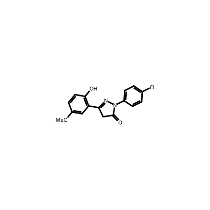 COc1ccc(O)c(C2=NN(c3ccc(Cl)cc3)C(=O)C2)c1